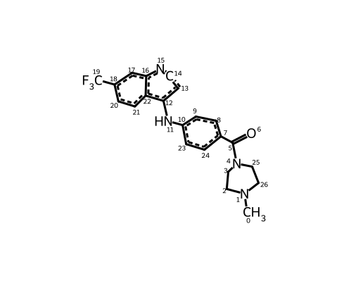 CN1CCN(C(=O)c2ccc(Nc3ccnc4cc(C(F)(F)F)ccc34)cc2)CC1